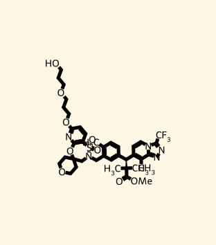 COC(=O)C(C)(C)[C@@H](c1ccc(C)c(CN2CC3(CCOCC3)Oc3nc(OCCCOCCCO)ccc3S2(=O)=O)c1)c1ccn2c(C(F)(F)F)nnc2c1C